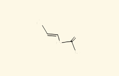 NC(=O)NC=CO